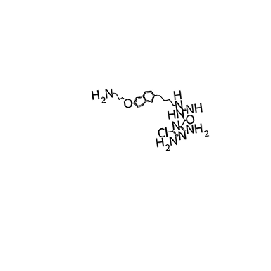 N=C(NCCCCc1ccc2cc(OCCCN)ccc2c1)NC(=O)c1nc(Cl)c(N)nc1N